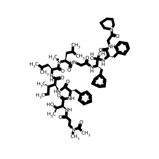 CC[C@H](C)[C@H](NC(=O)[C@H](Cc1ccccc1)NC(=O)[C@@H](NC(=O)CCN(C)C(C)=O)[C@@H](C)O)C(=O)N[C@@H](CC(C)C)C(=O)N(C)[C@@H](CC(C)C)C(=O)NCC(=O)N[C@@H](Cc1ccccc1)C(C)(O)N[C@@H](Cc1ccccc1)C(=O)NCC(=O)N1CCCCC1